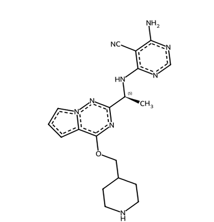 C[C@H](Nc1ncnc(N)c1C#N)c1nc(OCC2CCNCC2)c2cccn2n1